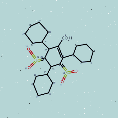 O=C(O)C1=C(C2CCCCC2)C(=S(=O)=O)C(C2CCCCC2)C(=S(=O)=O)C1C1CCCCC1